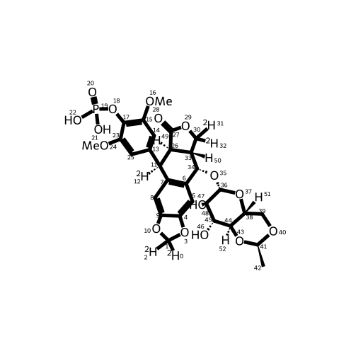 [2H]C1([2H])Oc2cc3c(cc2O1)[C@@]([2H])(c1cc(OC)c(OP(=O)(O)O)c(OC)c1)[C@H]1C(=O)OC([2H])([2H])[C@@H]1[C@@H]3O[C@@H]1O[C@@H]2CO[C@@H](C)O[C@H]2[C@H](O)[C@H]1O